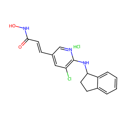 Cl.O=C(C=Cc1cnc(NC2CCc3ccccc32)c(Cl)c1)NO